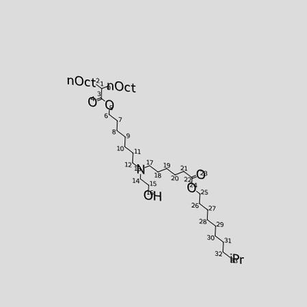 CCCCCCCCC(CCCCCCCC)C(=O)OCCCCCCCN(CCO)CCCCCC(=O)OCCCCCCCCC(C)C